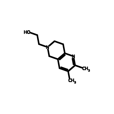 Cc1cc2c(nc1C)CCN(CCO)C2